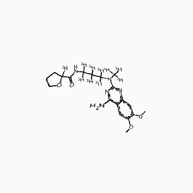 [2H]C1(C(=O)NC([2H])([2H])C([2H])([2H])C([2H])([2H])N(c2nc(N)c3cc(OC)c(OC)cc3n2)C([2H])([2H])[2H])CCCO1